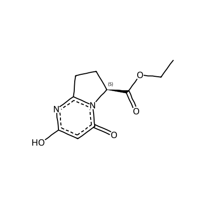 CCOC(=O)[C@@H]1CCc2nc(O)cc(=O)n21